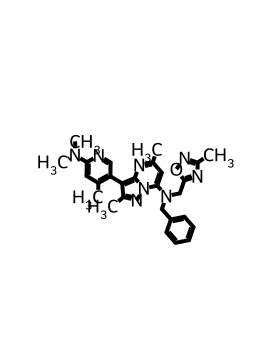 Cc1cc(N(Cc2ccccc2)Cc2nc(C)no2)n2nc(C)c(-c3cnc(N(C)C)cc3C)c2n1